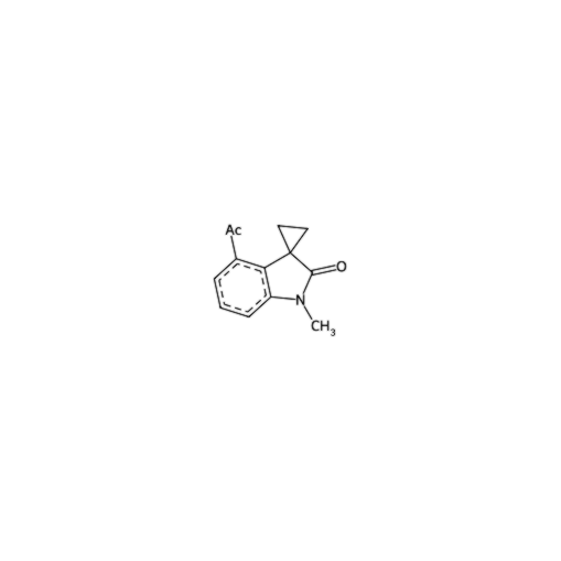 CC(=O)c1cccc2c1C1(CC1)C(=O)N2C